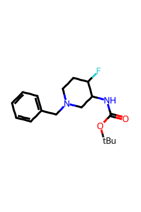 CC(C)(C)OC(=O)NC1CN(Cc2ccccc2)CCC1F